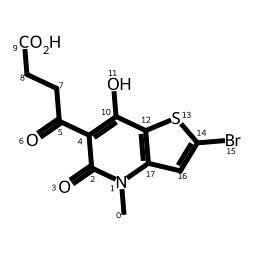 Cn1c(=O)c(C(=O)CCC(=O)O)c(O)c2sc(Br)cc21